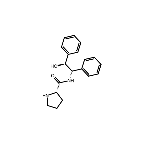 O=C(N[C@@H](c1ccccc1)[C@@H](O)c1ccccc1)[C@@H]1CCCN1